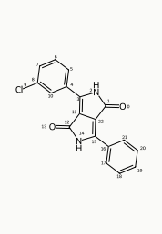 O=C1NC(c2cccc(Cl)c2)=C2C(=O)NC(c3ccccc3)=C12